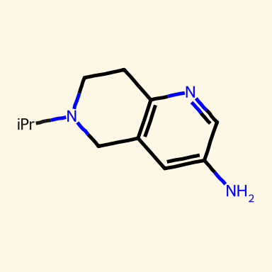 CC(C)N1CCc2ncc(N)cc2C1